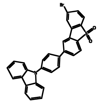 O=S1(=O)c2ccc(Br)cc2-c2cc(-c3ccc(-n4c5ccccc5c5ccccc54)cc3)ccc21